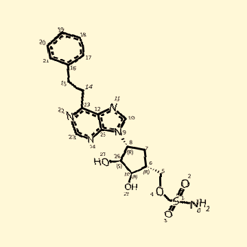 NS(=O)(=O)OC[C@H]1C[C@@H](n2cnc3c(CCc4ccccc4)ncnc32)[C@H](O)[C@@H]1O